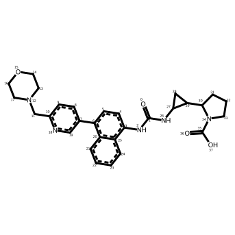 O=C(Nc1ccc(-c2ccc(CN3CCOCC3)nc2)c2ccccc12)NC1CC1C1CCCN1C(=O)O